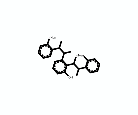 CCCCCCCCCc1ccccc1C(C)C(C)c1cccc(O)c1C(C)C(C)c1ccccc1CCCCCCCCC